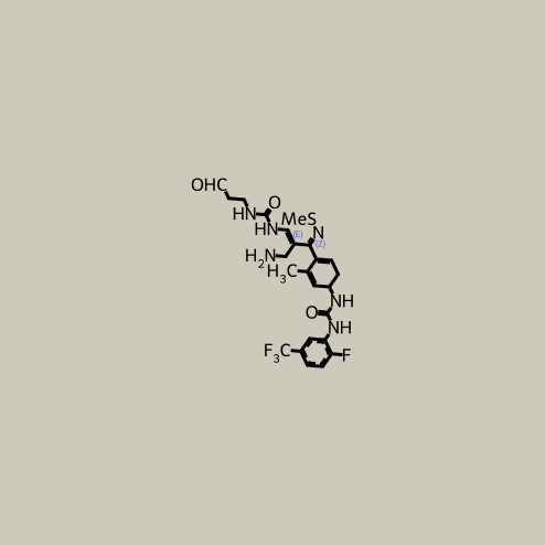 CS/N=C(C1=CCC(NC(=O)Nc2cc(C(F)(F)F)ccc2F)C=C1C)\C(=C\NC(=O)NCCC=O)CN